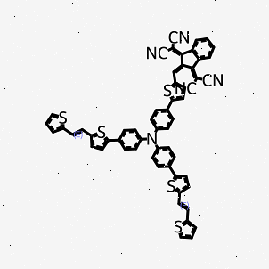 N#CC(C#N)=C1C(=Cc2ccc(-c3ccc(N(c4ccc(-c5ccc(/C=C/c6cccs6)s5)cc4)c4ccc(-c5ccc(/C=C/c6cccs6)s5)cc4)cc3)s2)C(=C(C#N)C#N)c2ccccc21